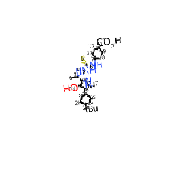 CC(=NNC(=S)Nc1ccc(C(=O)O)cc1)c1nn(C)c(-c2ccc(C(C)(C)C)cc2)c1O